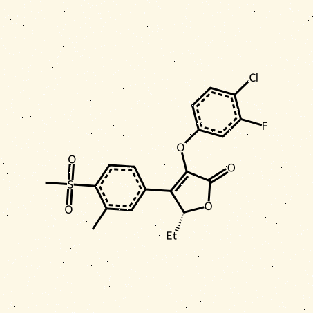 CC[C@H]1OC(=O)C(Oc2ccc(Cl)c(F)c2)=C1c1ccc(S(C)(=O)=O)c(C)c1